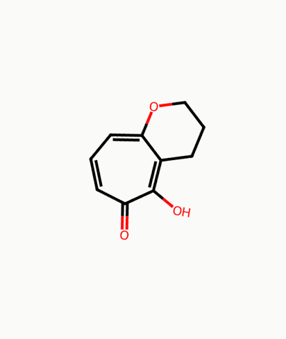 O=c1cccc2c(c1O)CCCO2